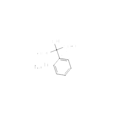 CC(C(=O)[O-])(C(=O)[O-])c1ccccc1.[Li+].[Na+]